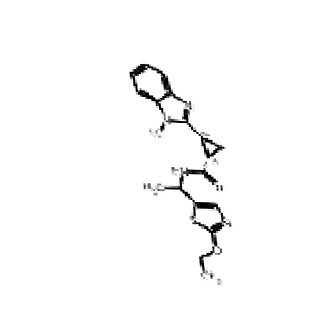 CCn1c([C@H]2C[C@@H]2C(=O)NC(C)c2cnc(OCC(F)(F)F)s2)nc2ccccc21